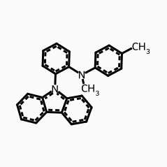 Cc1ccc(N(C)c2ccccc2-n2c3ccccc3c3ccccc32)cc1